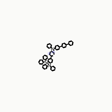 C=C(/C=C\C(=C/C)N(c1ccccc1)c1ccc(-c2ccc(-c3ccccc3)cc2)cc1)c1ccc2c(c1)[Si](c1ccccc1)(c1ccccc1)c1ccccc1N2c1ccccc1